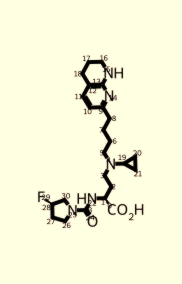 O=C(O)[C@H](CCN(CCCCc1ccc2c(n1)NCCC2)C1CC1)NC(=O)N1CC[C@@H](F)C1